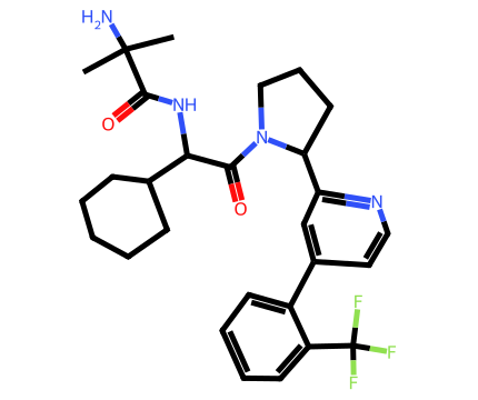 CC(C)(N)C(=O)NC(C(=O)N1CCCC1c1cc(-c2ccccc2C(F)(F)F)ccn1)C1CCCCC1